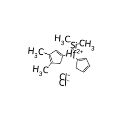 CC1=C(C)C[C]([Hf+2]([C]2=CC=CC2)=[Si](C)C)=C1.[Cl-].[Cl-]